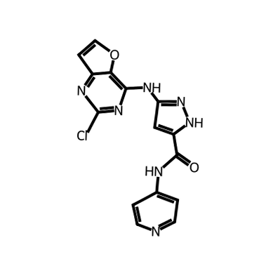 O=C(Nc1ccncc1)c1cc(Nc2nc(Cl)nc3ccoc23)n[nH]1